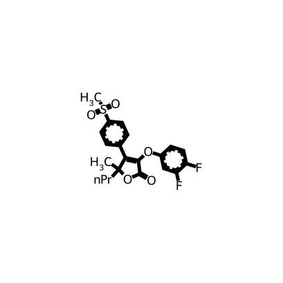 CCCC1(C)OC(=O)C(Oc2ccc(F)c(F)c2)=C1c1ccc(S(C)(=O)=O)cc1